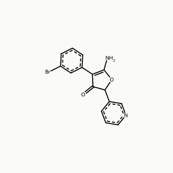 NC1=C(c2cccc(Br)c2)C(=O)C(c2cccnc2)O1